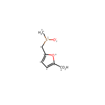 C[S+]([O-])Cc1ccc(C(=O)O)o1